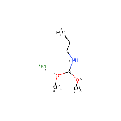 CCCNC(OC)OC.Cl